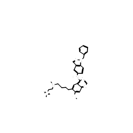 COc1cc2ncnc(Nc3ccc4c(cnn4Cc4ccccc4)c3)c2cc1CCCCN(C)CCS(C)(=O)=O